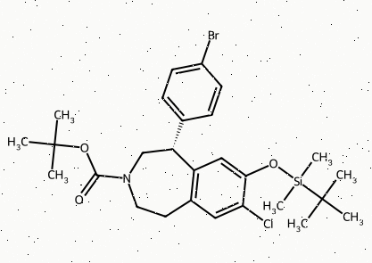 CC(C)(C)OC(=O)N1CCc2cc(Cl)c(O[Si](C)(C)C(C)(C)C)cc2[C@@H](c2ccc(Br)cc2)C1